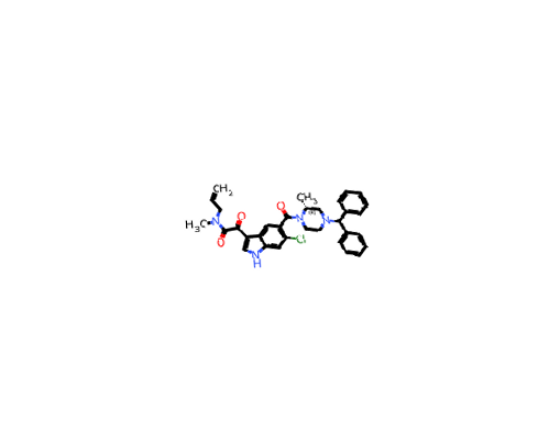 C=CCN(C)C(=O)C(=O)c1c[nH]c2cc(Cl)c(C(=O)N3CCN(C(c4ccccc4)c4ccccc4)C[C@H]3C)cc12